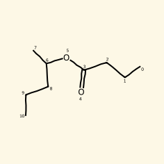 CCCC(=O)OC(C)CCC